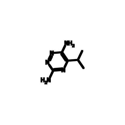 CC(C)c1nc(N)nnc1N